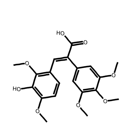 COc1ccc(/C=C(/C(=O)O)c2cc(OC)c(OC)c(OC)c2)c(OC)c1O